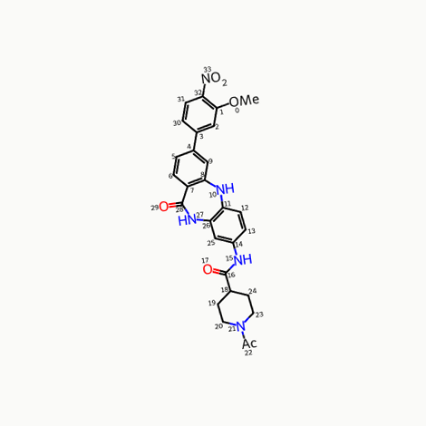 COc1cc(-c2ccc3c(c2)Nc2ccc(NC(=O)C4CCN(C(C)=O)CC4)cc2NC3=O)ccc1[N+](=O)[O-]